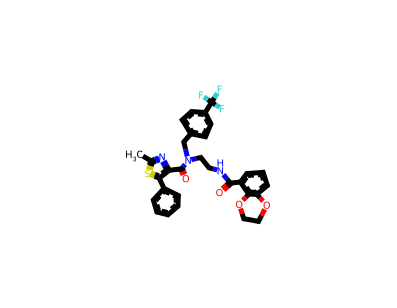 Cc1nc(C(=O)N(CCNC(=O)c2cccc3c2OCCO3)Cc2ccc(C(F)(F)F)cc2)c(-c2ccccc2)s1